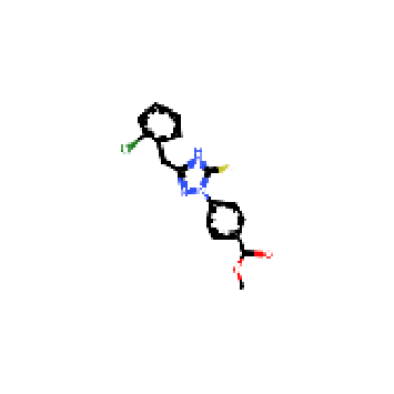 COC(=O)c1ccc(-n2nc(Cc3ccccc3Cl)[nH]c2=S)cc1